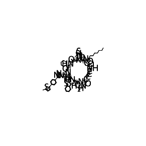 CCCCCCCC(=O)N[C@H]1CC(=O)NCCCC[C@@H](C(N)=O)NC(=O)[C@H](Cc2csc3ccccc23)NC(=O)[C@@H]2C[C@H](n3cc(-c4ccc(-c5ccc(C)s5)cc4)nn3)CN2C(=O)[C@H](C2CCCCC2)NC(=O)[C@H](Cc2cscn2)NC1=O